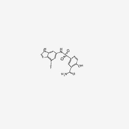 NC(=O)c1cc(S(=O)(=O)Nc2cc(F)c3cc[nH]c3c2)ccc1O